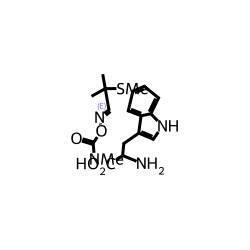 CNC(=O)O/N=C/C(C)(C)SC.NC(Cc1c[nH]c2ccccc12)C(=O)O